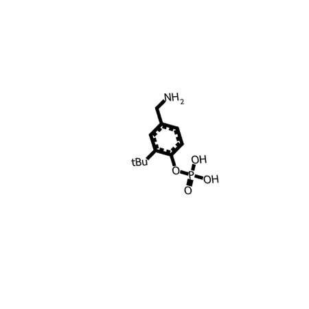 CC(C)(C)c1cc(CN)ccc1OP(=O)(O)O